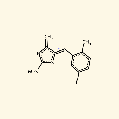 C=c1nc(SC)s/c1=C\c1cc(F)ccc1C